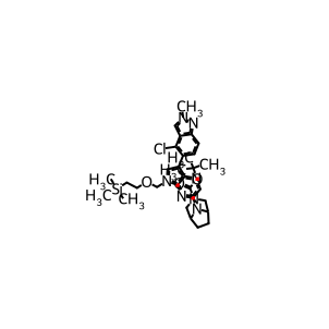 Cn1cc2c(Cl)c(-c3cn(COCC[Si](C)(C)C)c4nc(N5C6CCC5CN(C(=O)OC(C)(C)C)C6)cnc34)ccc2n1